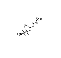 CC(C)(N)C(C)(C)CCCCCC(=O)O.N